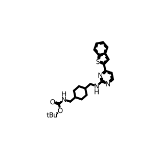 CC(C)(C)OC(=O)NCC1CCC(CNc2nccc(-c3cc4ccccc4s3)n2)CC1